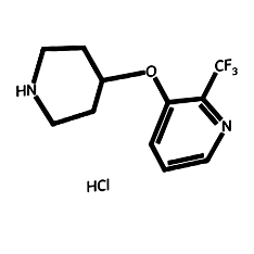 Cl.FC(F)(F)c1ncccc1OC1CCNCC1